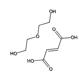 O=C(O)/C=C/C(=O)O.OCCOCCO